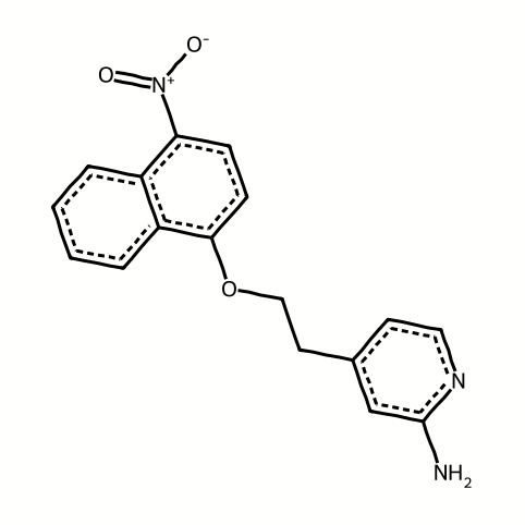 Nc1cc(CCOc2ccc([N+](=O)[O-])c3ccccc23)ccn1